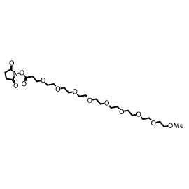 COCCOCCOCCOCCOCCOCCOCCOCCOCCC(=O)ON1C(=O)CCC1=O